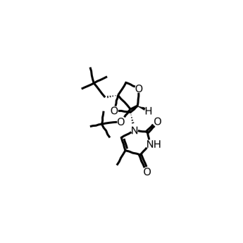 Cc1cn([C@@H]2O[C@@]3(CC(C)(C)C)CO[C@H]2C3OC(C)(C)C)c(=O)[nH]c1=O